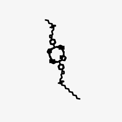 CCCCCCCCCC[N+](C)(C)CCCOc1ccc(-c2c3nc(cc4ccc([nH]4)c(-c4ccc(OCCC[N+](C)(C)CCCC)cc4)c4nc(cc5ccc2[nH]5)C=C4)C=C3)cc1